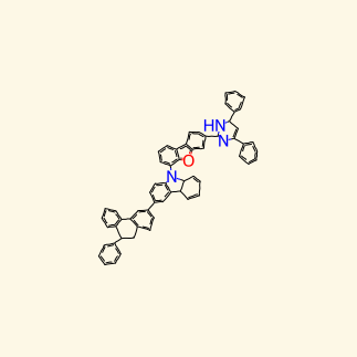 C1=CC2c3cc(-c4ccc5c(c4)-c4ccccc4C(c4ccccc4)C5)ccc3N(c3cccc4c3oc3cc(C5=NC(c6ccccc6)=CC(c6ccccc6)N5)ccc34)C2C=C1